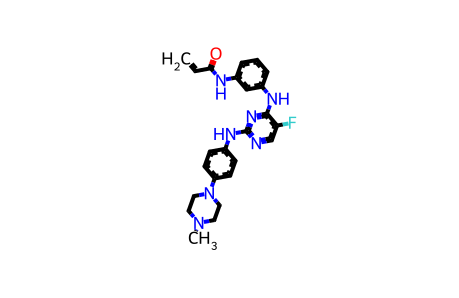 C=CC(=O)Nc1cccc(Nc2nc(Nc3ccc(N4CCN(C)CC4)cc3)ncc2F)c1